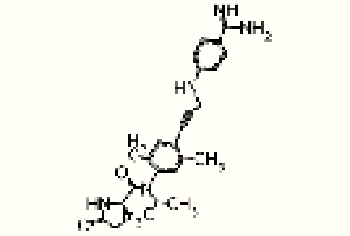 Cc1cc(N(C(=O)C2CCC(=O)N2)C(C)C)c(C)cc1C#CCNc1ccc(C(=N)N)cc1